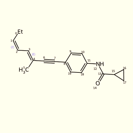 CC/C=C\C=C(/C)C#Cc1ccc(NC(=O)C2CC2)cc1